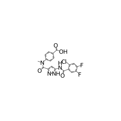 CN(C(=O)c1cc(NC(=O)c2cc(F)c(F)cc2Cl)[nH]n1)c1ccc(C(=O)O)cc1